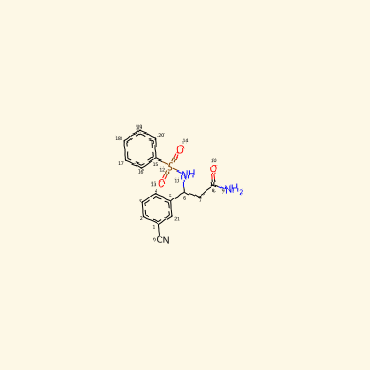 N#Cc1cccc(C(CC(N)=O)NS(=O)(=O)c2ccccc2)c1